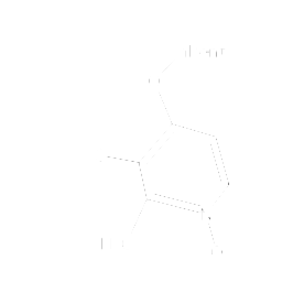 CCCCCOc1cc[n+]([O-])c(C)c1C